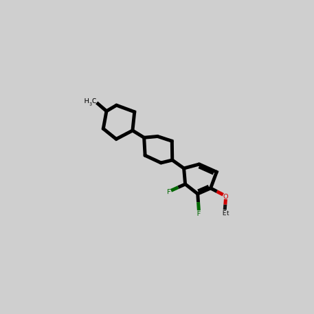 CCOC1=C(F)C(F)C(C2CCC(C3CCC(C)CC3)CC2)C=C1